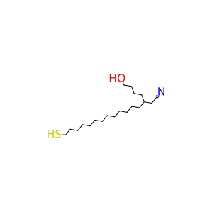 N#CCC(CCCCO)CCCCCCCCCCCCCS